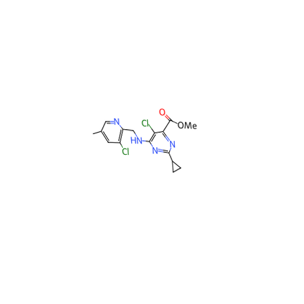 COC(=O)c1nc(C2CC2)nc(NCc2ncc(C)cc2Cl)c1Cl